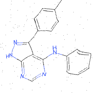 Cc1ccc(-c2n[nH]c3ncnc(Nc4ccccc4)c23)cc1